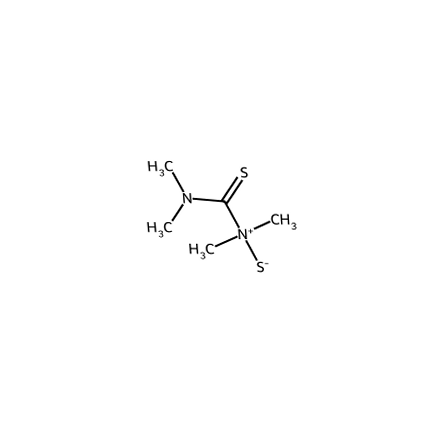 CN(C)C(=S)[N+](C)(C)[S-]